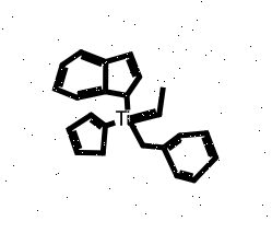 C[CH]=[Ti]([CH2]c1ccccc1)([C]1=CC=CC1)[CH]1C=Cc2ccccc21